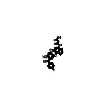 O=C(O)CC(=O)Nc1cc(Cl)c(Oc2ccc(O)c(C(O)c3ccc(F)cc3)c2)c2c1CCC2